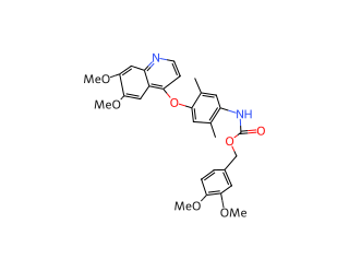 COc1ccc(COC(=O)Nc2cc(C)c(Oc3ccnc4cc(OC)c(OC)cc34)cc2C)cc1OC